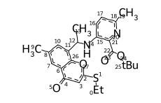 CCSc1cc(=O)c2cc(C)cc(C(C)Nc3ccc(C)nc3C(=O)OC(C)(C)C)c2o1